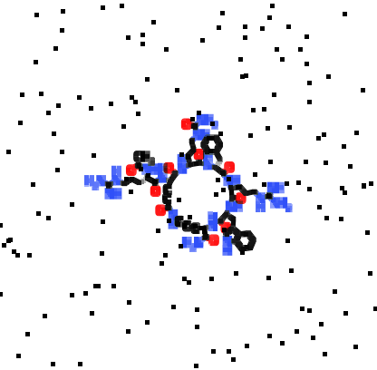 CC(=O)N[C@@H](CCCNC(=N)N)C(=O)N[C@H]1CCC(=O)NCCCC(C(N)=O)NC(=O)[C@H](Cc2c[nH]c3ccccc23)NC(=O)[C@H](CCCNC(=N)N)NC(=O)[C@@H](Cc2ccccc2)NC(=O)[C@H](CCCNC(N)=O)NC1=O